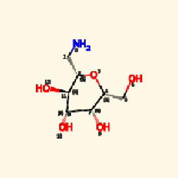 NC[C@@H]1O[C@H](CO)[C@H](O)[C@H](O)[C@H]1O